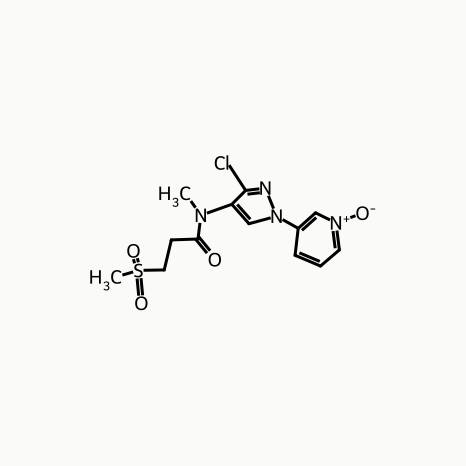 CN(C(=O)CCS(C)(=O)=O)c1cn(-c2ccc[n+]([O-])c2)nc1Cl